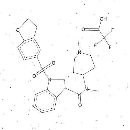 CN1CCC(N(C)C(=O)C2CN(S(=O)(=O)c3ccc4c(c3)CCO4)c3ccccc32)CC1.O=C(O)C(F)(F)F